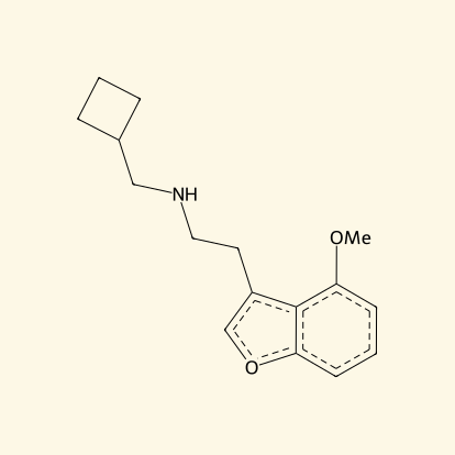 COc1cccc2occ(CCNCC3CCC3)c12